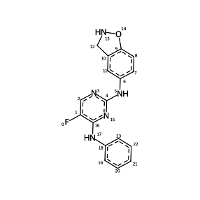 Fc1cnc(Nc2ccc3c(c2)CNO3)nc1Nc1ccccc1